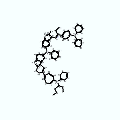 CCCC(CC)N(C1=CCC=C(C2=Cc3c(sc4ccc(N(c5ccccc5)c5ccc6sc(C)c(/C=C(\CC)c7ccc(N(c8ccccc8)c8ccccc8)cc7)c6c5)cc34)CC2)C=C1)C1=CC=CCC1